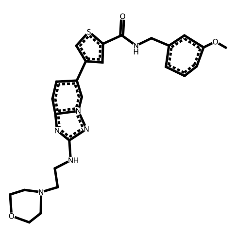 COc1cccc(CNC(=O)c2cc(-c3ccc4nc(NCCN5CCOCC5)nn4c3)cs2)c1